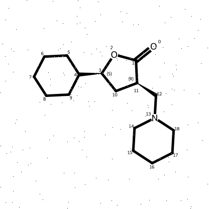 O=C1O[C@H](C2CCCCC2)C[C@@H]1CN1CCCCC1